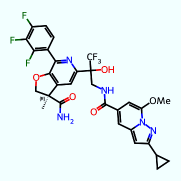 COc1cc(C(=O)NCC(O)(c2cc3c(c(-c4ccc(F)c(F)c4F)n2)OC[C@]3(C)C(N)=O)C(F)(F)F)cc2cc(C3CC3)nn12